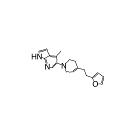 Cc1c(N2CC=C(CCc3ccco3)CC2)cnc2[nH]ccc12